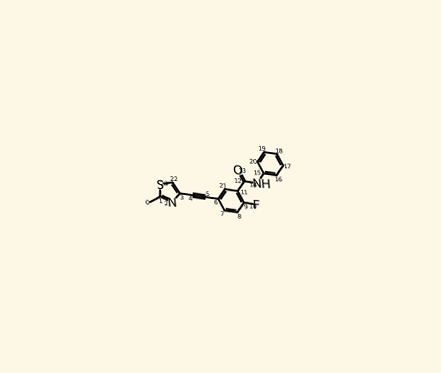 Cc1nc(C#Cc2ccc(F)c(C(=O)Nc3ccccc3)c2)cs1